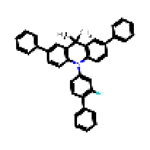 CC1(C)c2cc(-c3ccccc3)ccc2N(c2ccc(-c3ccccc3)c(F)c2)c2ccc(-c3ccccc3)cc21